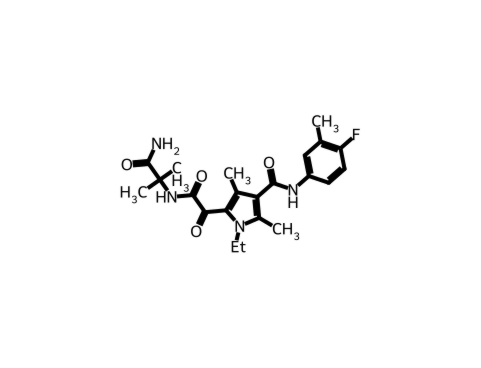 CCn1c(C)c(C(=O)Nc2ccc(F)c(C)c2)c(C)c1C(=O)C(=O)NC(C)(C)C(N)=O